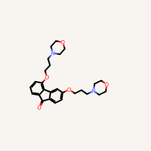 O=C1c2ccc(OCCCN3CCOCC3)cc2-c2c(OCCCN3CCOCC3)cccc21